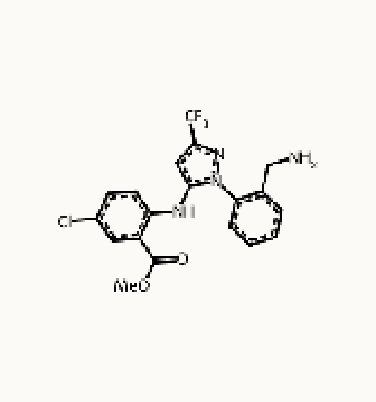 COC(=O)c1cc(Cl)ccc1Nc1cc(C(F)(F)F)nn1-c1ccccc1CN